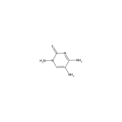 Nc1cn(N)c(=S)nc1N